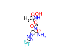 C[C@@H](CO[C@@H]1CCN(C2CCN(c3ncc(C(F)(F)F)cn3)CC2C(N)=O)C1=O)NC(=O)O